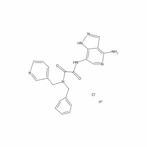 Nc1ncc(NC(=O)C(=O)N(Cc2ccccc2)Cc2cccnc2)c2[nH]ncc12.[Cl-].[H+]